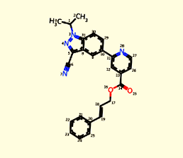 CC(C)n1nc(C#N)c2cc(-c3cc(C(=O)OCC=Cc4ccccc4)ccn3)ccc21